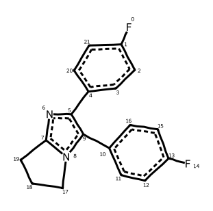 Fc1ccc(-c2nc3n(c2-c2ccc(F)cc2)CCC3)cc1